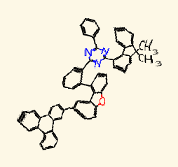 CC1(C)c2ccccc2-c2c(-c3nc(-c4ccccc4)nc(-c4ccccc4-c4cccc5oc6ccc(-c7ccc8c9ccccc9c9ccccc9c8c7)cc6c45)n3)cccc21